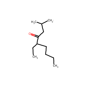 [CH2]C(C)CC(=O)C(CC)CCCC